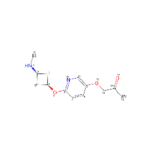 CCN[C@H]1C[C@@H](Oc2ccc(OCC(=O)C(C)C)cn2)C1